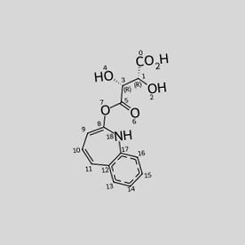 O=C(O)[C@H](O)[C@@H](O)C(=O)OC1=CC=Cc2ccccc2N1